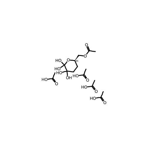 CC(=O)O.CC(=O)O.CC(=O)O.CC(=O)O.CC(=O)OC[C@H]1CCC(O)(O)C(O)(O)O1